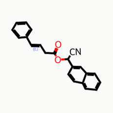 N#CC(OC(=O)C/C=C/c1ccccc1)c1ccc2ccccc2c1